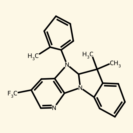 Cc1ccccc1N1c2cc(C(F)(F)F)cnc2N2c3ccccc3C(C)(C)C12